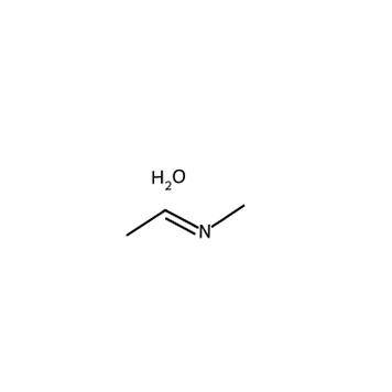 CC=NC.O